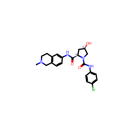 CN1CCc2cc(NC(=O)[C@H]3C[C@@H](O)CN3C(=O)Nc3ccc(Br)cc3)ccc2C1